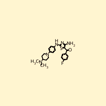 CN(C)C1CCN(c2ccc(Nc3nc(N)c(C(=O)c4ccc(F)cc4)s3)cc2)CC1